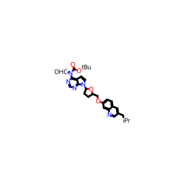 CC(C)Cc1cnc2cc(OCC3CCC(n4ccc5c(N(C=O)C(=O)OC(C)(C)C)ncnc54)O3)ccc2c1